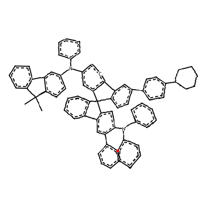 CC1(C)c2ccccc2-c2cc(N(c3ccccc3)c3ccc4c(c3)C3(c5ccccc5-c5cc(-c6ccccc6)c(N(c6ccccc6)c6ccccc6)cc53)c3ccc(-c5ccc(C6CCCCC6)cc5)cc3-4)ccc21